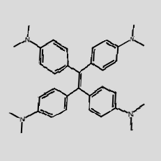 CN(C)c1ccc(C(=C(c2ccc(N(C)C)cc2)c2ccc(N(C)C)cc2)c2ccc(N(C)C)cc2)cc1